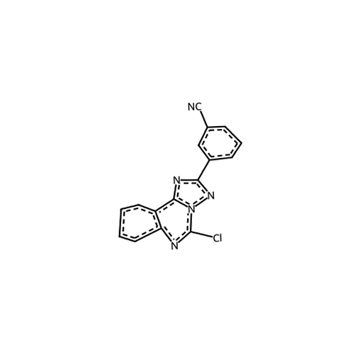 N#Cc1cccc(-c2nc3c4ccccc4nc(Cl)n3n2)c1